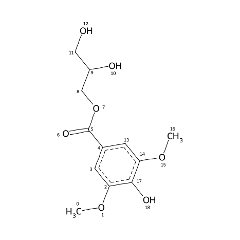 COc1cc(C(=O)OCC(O)CO)cc(OC)c1O